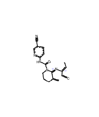 C=C1CCCN(C(=O)Nc2ccc(C#N)cn2)/C1=N/C(C=O)=C\C